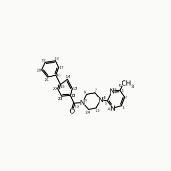 Cc1ccnc(N2CCN(C(=O)c3ccc(-c4ccccc4)cc3)CC2)n1